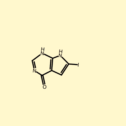 O=c1nc[nH]c2[nH]c(I)cc12